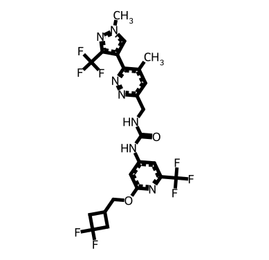 Cc1cc(CNC(=O)Nc2cc(OCC3CC(F)(F)C3)nc(C(F)(F)F)c2)nnc1-c1cn(C)nc1C(F)(F)F